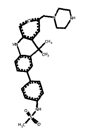 CC1(C)c2cc(CN3CCNCC3)ccc2Nc2ccc(-c3ccc(NS(C)(=O)=O)cc3)cc21